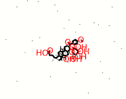 COc1ccc(C(=O)[C@]2(OC3O[C@H](CO)[C@@H](O)[C@H](O)[C@H]3O)CC[C@@]3(C)C(C[C@@H](O)[C@H]4[C@@H]5CC[C@H]([C@H](C)CCC(=O)O)[C@@]5(C)CC[C@@H]43)C2)cc1